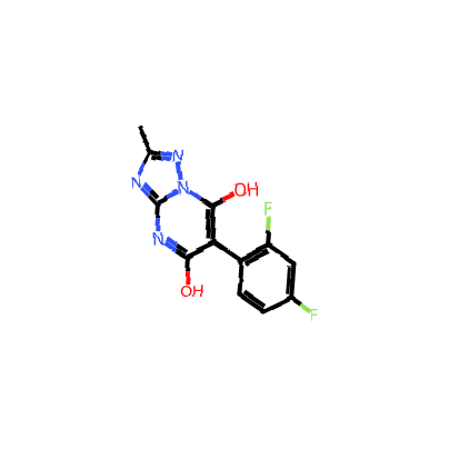 Cc1nc2nc(O)c(-c3ccc(F)cc3F)c(O)n2n1